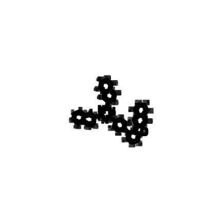 c1ccc2cc(-c3nc(-c4ccc(-c5cccc6oc7cc8ccccc8cc7c56)cc4)nc(-c4ccc5ccccc5c4)n3)ccc2c1